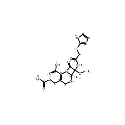 CO[C@@]1(NC(=O)CSc2ncc[nH]2)C(=O)N2C(C(=O)O)=C(COC(C)=O)CS[C@@H]21